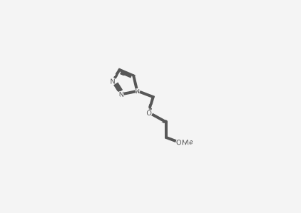 COCCOCn1[c]cnn1